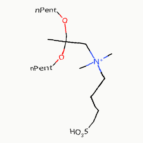 CCCCCOC(C)(C[N+](C)(C)CCCS(=O)(=O)O)OCCCCC